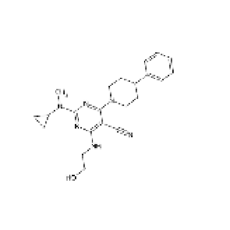 CN(c1nc(NCCO)c(C#N)c(N2CCC(c3ccccc3)CC2)n1)C1CC1